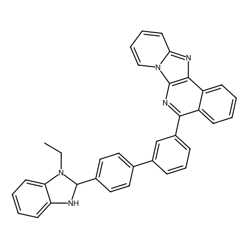 CCN1c2ccccc2NC1c1ccc(-c2cccc(-c3nc4c(nc5ccccn54)c4ccccc34)c2)cc1